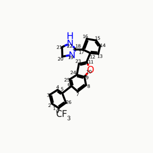 FC(F)(F)c1cccc(-c2ccc3oc(-c4ccccc4C4=NCCN4)cc3c2)c1